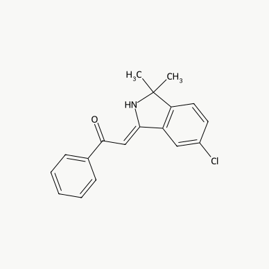 CC1(C)N/C(=C\C(=O)c2ccccc2)c2cc(Cl)ccc21